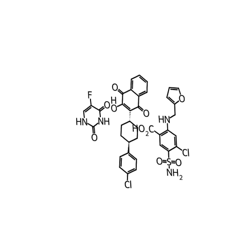 NS(=O)(=O)c1cc(C(=O)O)c(NCc2ccco2)cc1Cl.O=C1C(O)=C([C@H]2CC[C@H](c3ccc(Cl)cc3)CC2)C(=O)c2ccccc21.O=c1[nH]cc(F)c(=O)[nH]1